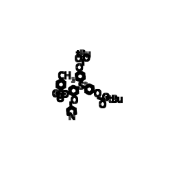 CC(C)(C)OC(=O)COc1ccc([S+](c2ccc(OCC(=O)OC(C)(C)C)cc2)c2cccc(OCc3ccncc3)c2)cc1.Cc1ccc(S(=O)(=O)[O-])cc1